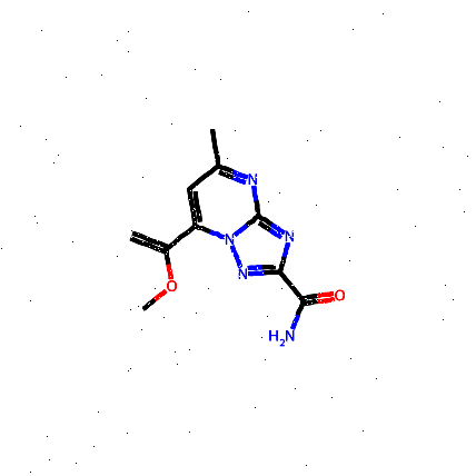 C=C(OC)c1cc(C)nc2nc(C(N)=O)nn12